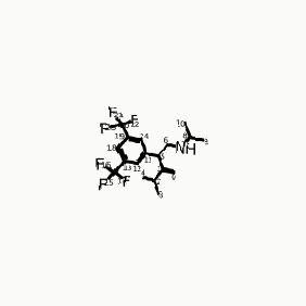 C=C(C(C)C)[C@H](CNC(C)C)c1cc(C(F)(F)F)cc(C(F)(F)F)c1